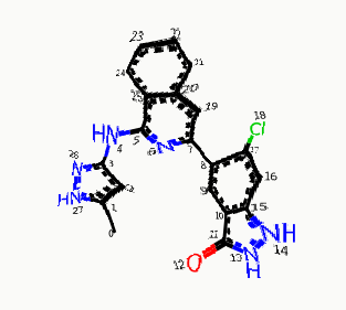 Cc1cc(Nc2nc(-c3cc4c(=O)[nH][nH]c4cc3Cl)cc3ccccc23)n[nH]1